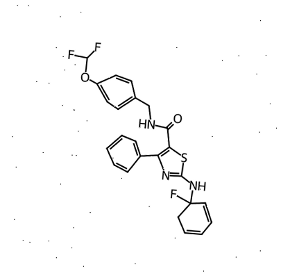 O=C(NCc1ccc(OC(F)F)cc1)c1sc(NC2(F)C=CC=CC2)nc1-c1ccccc1